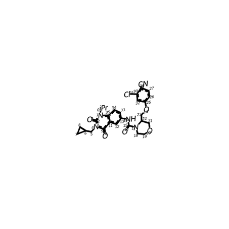 CC(C)n1c(=O)n(CC2CC2)c(=O)c2cc(NC(=O)N3CCOCC3COc3ccc(C#N)c(Cl)c3)ccc21